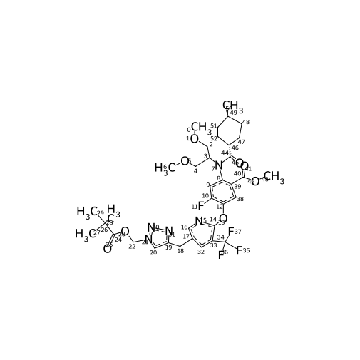 COCC(COC)N(c1cc(F)c(Oc2ncc(Cc3cn(COC(=O)C(C)(C)C)nn3)cc2C(F)(F)F)cc1C(=O)OC)C(=O)[C@H]1CC[C@H](C)CC1